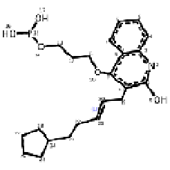 Oc1nc2ccccc2c(OCCCOP(O)O)c1C/C=C/CCC1CCCC1